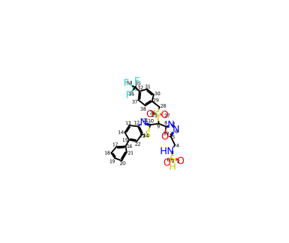 O=[SH](=O)NCc1nnc(C(c2nc3ccc(-c4ccccc4)cc3s2)S(=O)(=O)Cc2ccc(C(F)(F)F)cc2)o1